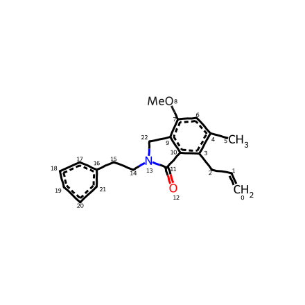 C=CCc1c(C)cc(OC)c2c1C(=O)N(CCc1ccccc1)C2